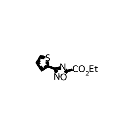 CCOC(=O)c1nc(-c2cccs2)no1